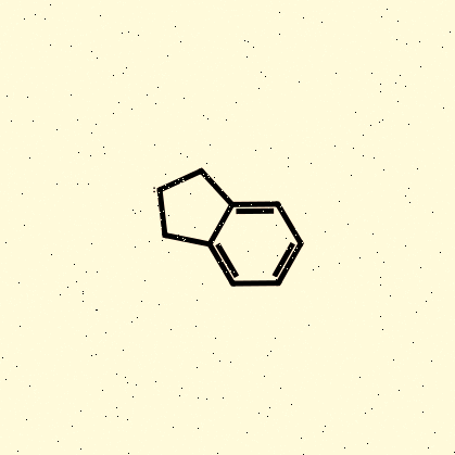 [C]1Cc2ccccc2C1